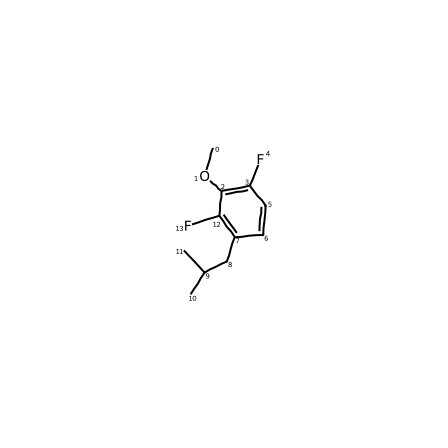 COc1c(F)ccc(CC(C)C)c1F